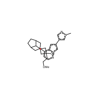 COCCC1(C#N)CC(N2C3CCC2CN(c2ccnn4cc(-c5cnn(C)c5)cc24)C3)C1